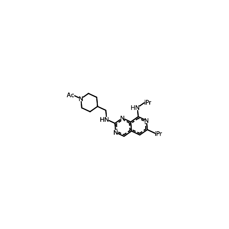 CC(=O)N1CCC(CNc2ncc3cc(C(C)C)nc(NC(C)C)c3n2)CC1